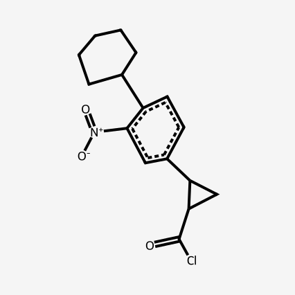 O=C(Cl)C1CC1c1ccc(C2CCCCC2)c([N+](=O)[O-])c1